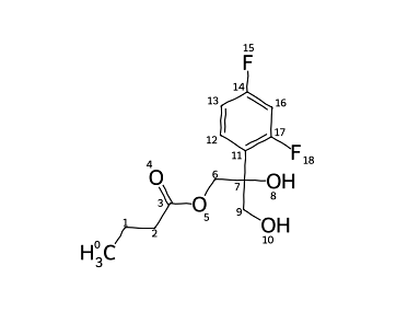 CCCC(=O)OCC(O)(CO)c1ccc(F)cc1F